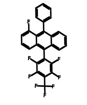 Fc1c(F)c(C(F)(F)F)c(F)c(F)c1-c1c2ccccc2c(-c2ccccc2)c2c(F)cccc12